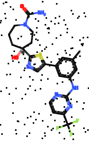 Cc1cc(Nc2nccc(C(F)(F)F)n2)cc(-c2cnc([C@@]3(O)CCCN(C(N)=O)CC3)s2)c1